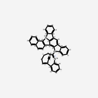 N#C/C1=C\CCC/C(n2c3ccccc3c3cc4c5ccccc5n5c6c7ccccc7ccc6c(c32)c45)=N\c2ccccc21